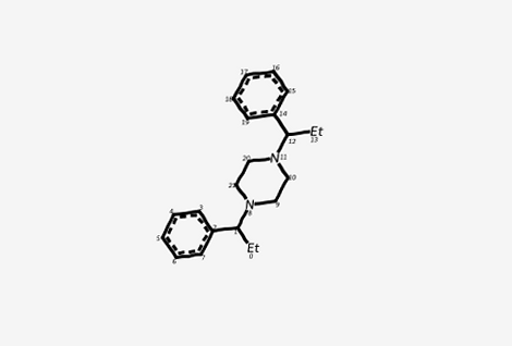 CCC(c1ccccc1)N1CCN(C(CC)c2ccccc2)CC1